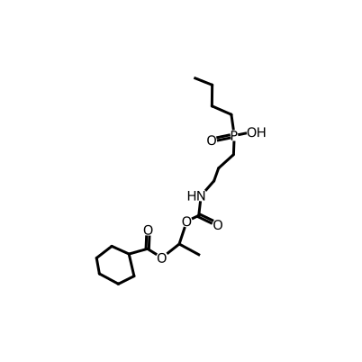 CCCCP(=O)(O)CCCNC(=O)OC(C)OC(=O)C1CCCCC1